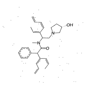 C=C/C=C\C(=C/C)C(CN1CC[C@H](O)C1)N(C)C(=O)C(C(/C=C\C)=C/C=C)c1ccccc1